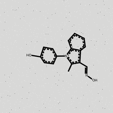 Cc1c(C=NO)c2ccccc2n1-c1ccc(O)cc1